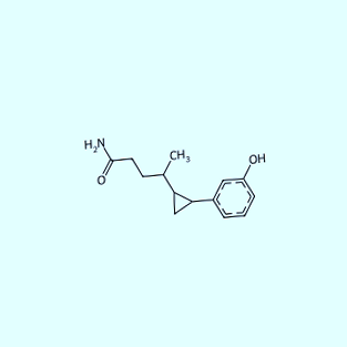 CC(CCC(N)=O)C1CC1c1cccc(O)c1